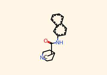 O=C(Nc1ccc2ccccc2c1)C1CN2CCC1CC2